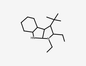 CCC1C(C(C)(C)C)C2C3CCCCC3NC2N1CC